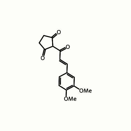 COc1ccc(/C=C/C(=O)C2C(=O)CCC2=O)cc1OC